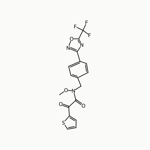 CON(Cc1ccc(-c2noc(C(F)(F)F)n2)cc1)C(=O)C(=O)c1cccs1